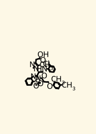 Cc1ccc(OCCCN2C(C(C(=O)Nc3ccccc3Cl)n3cnc(CC(=O)O)c3C)=Nc3ccccc3S2(=O)=O)c(C)c1